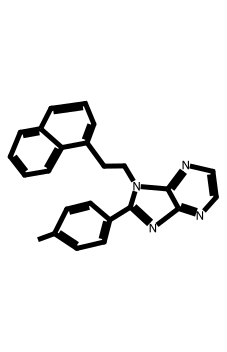 Cc1ccc(-c2nc3nccnc3n2CCc2cccc3ccccc23)cc1